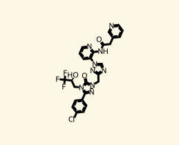 O=C(Cc1cccnc1)Nc1ncccc1-n1cnc(Cn2nc(-c3ccc(Cl)cc3)n(C[C@H](O)C(F)(F)F)c2=O)n1